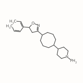 C/C=C\C(=C/C)C1CC(C2CCCC(C3CCN(P)CC3)CCC2)=NO1